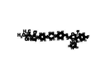 CC(O)C(C)n1ncn(-c2ccc(N3CCN(c4ccc(CSC5OCC(Cn6cncn6)(c6ccc(F)cc6F)O5)cc4)CC3)cc2)c1=O